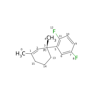 CC1=C[C@](C)(c2cc(F)ccc2F)CCC1